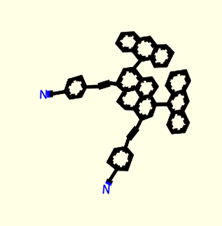 N#Cc1ccc(C#Cc2cc(-c3c4ccccc4cc4ccccc34)c3ccc4c(-c5c6ccccc6cc6ccccc56)cc(C#Cc5ccc(C#N)cc5)c5ccc2c3c54)cc1